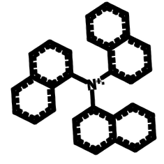 c1ccc2c([N+](c3cccc4ccccc34)c3cccc4ccccc34)cccc2c1